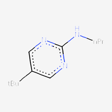 CCCNc1ncc(C(C)(C)C)cn1